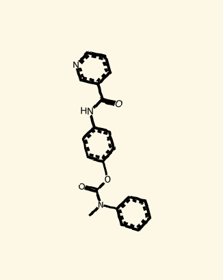 CN(C(=O)Oc1ccc(NC(=O)c2cccnc2)cc1)c1ccccc1